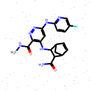 CNC(=O)c1nnc(Nc2ccc(F)cn2)cc1NC1C2C=CC(C2)C1C(N)=O